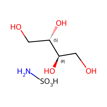 NS(=O)(=O)O.OC[C@@H](O)[C@@H](O)CO